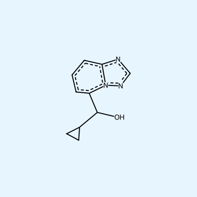 OC(c1cccc2ncnn12)C1CC1